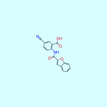 N#Cc1ccc(NC(=O)c2cc3ccccc3o2)c(C(=O)O)c1